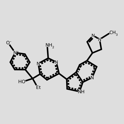 CCC(O)(c1cc[n+]([O-])cc1)c1cc(-c2c[nH]c3ncc(C4C=NN(C)C4)cc23)nc(N)n1